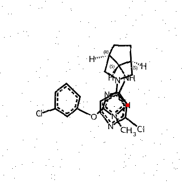 Cn1nc(N[C@@H]2[C@@H]3CC[C@H]2CN(c2ccnc(Cl)c2)C3)nc1Oc1cccc(Cl)c1